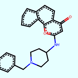 O=c1cc(NC2CCN(Cc3ccccc3)CC2)oc2c1ccc1ccccc12